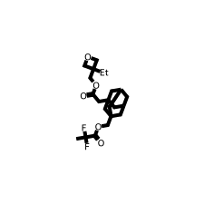 CCC1(COC(=O)CC23CC4CC(CC(COC(=O)C(C)(F)F)(C4)C2)C3)COC1